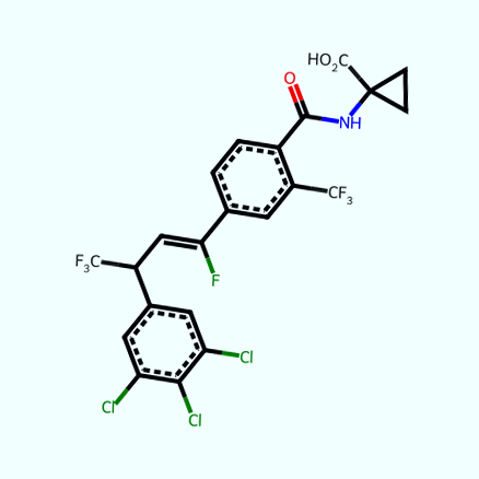 O=C(NC1(C(=O)O)CC1)c1ccc(C(F)=CC(c2cc(Cl)c(Cl)c(Cl)c2)C(F)(F)F)cc1C(F)(F)F